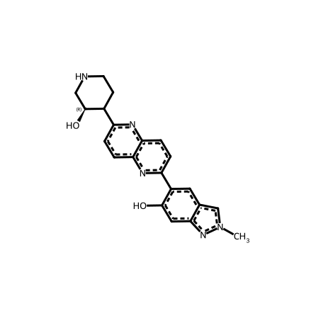 Cn1cc2cc(-c3ccc4nc(C5CCNC[C@@H]5O)ccc4n3)c(O)cc2n1